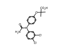 CC(C)(Oc1ccc(N(C(N)=O)c2ccc(Cl)c(Cl)c2)cc1)C(=O)O